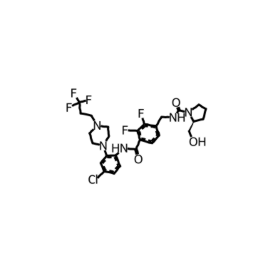 O=C(Nc1ccc(Cl)cc1N1CCN(CCC(F)(F)F)CC1)c1ccc(CNC(=O)N2CCC[C@H]2CO)c(F)c1F